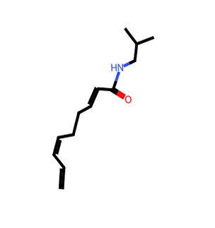 C=C/C=C\CC/C=C/C(=O)NCC(C)C